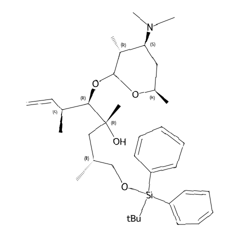 C=C[C@H](C)[C@@H](OC1O[C@H](C)C[C@H](N(C)C)[C@H]1C)[C@](C)(O)C[C@@H](C)CO[Si](c1ccccc1)(c1ccccc1)C(C)(C)C